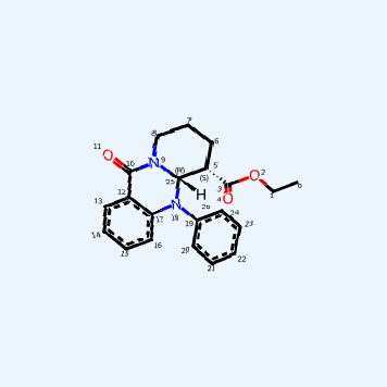 CCOC(=O)[C@H]1CCCN2C(=O)c3ccccc3N(c3ccccc3)[C@@H]12